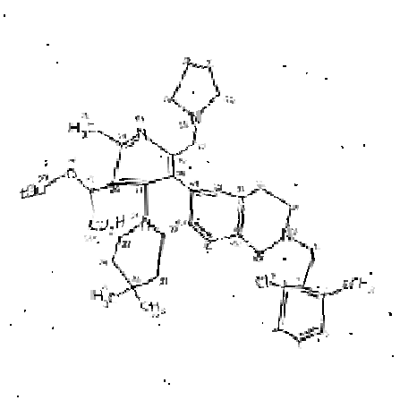 Cc1cccc(Cl)c1CN1CCc2cc(-c3c(CN4CCCC4)nc(C)c(C(OC(C)(C)C)C(=O)O)c3N3CCC(C)(C)CC3)ccc2C1